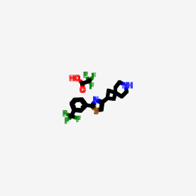 FC(F)(F)c1cccc(-c2nc(C3CC4(CCNCC4)C3)cs2)c1.O=C(O)C(F)(F)F